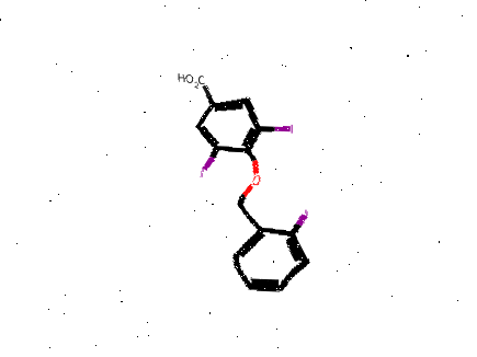 O=C(O)c1cc(I)c(OCc2ccccc2I)c(I)c1